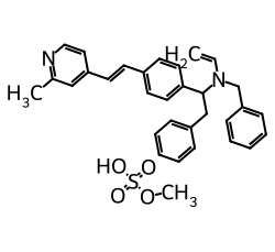 C=CN(Cc1ccccc1)C(Cc1ccccc1)c1ccc(C=Cc2ccnc(C)c2)cc1.COS(=O)(=O)O